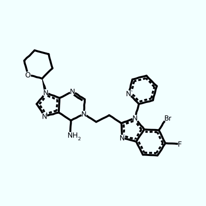 NC1c2ncn([C@@H]3CCCCO3)c2N=CN1CCc1nc2ccc(F)c(Br)c2n1-c1ccccn1